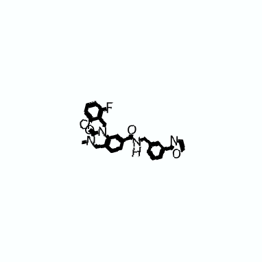 CN1Cc2ccc(C(=O)NCc3cccc(-c4ncco4)c3)cc2N(Cc2c(F)cccc2Cl)C1=O